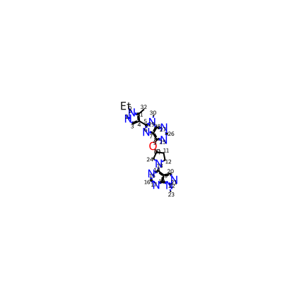 CCn1ncc(-c2nc3c(O[C@H]4CCN(c5ncnc6c5cnn6C)C4)ncnc3n2C)c1C